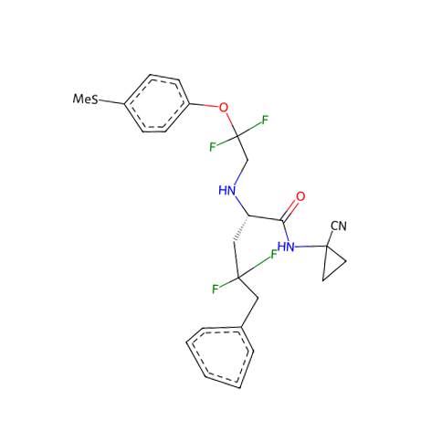 CSc1ccc(OC(F)(F)CN[C@@H](CC(F)(F)Cc2ccccc2)C(=O)NC2(C#N)CC2)cc1